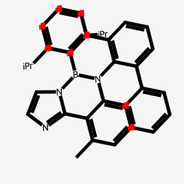 Cc1cccc2c1-c1nccn1B(c1c(C(C)C)cccc1C(C)C)N2c1c(C2=CCCC=C2)cccc1-c1ccccc1